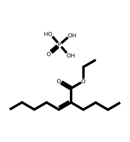 CCCCC=C(CCCC)C(=O)OCC.O=P(O)(O)O